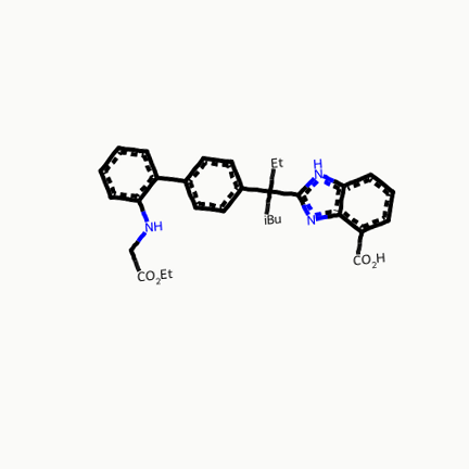 CCOC(=O)CNc1ccccc1-c1ccc(C(CC)(c2nc3c(C(=O)O)cccc3[nH]2)C(C)CC)cc1